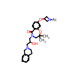 CC(=O)N1CC(Oc2ccc3c(c2)OC(C)(C)CN(CC(O)CN2CCc4ccccc4C2)C3=O)C1